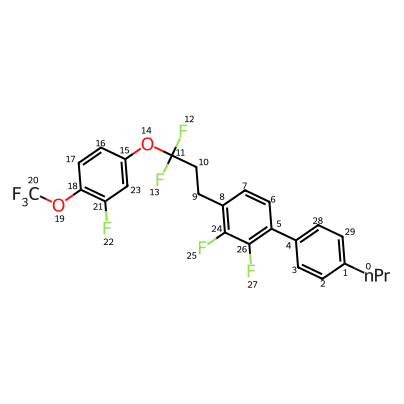 CCCc1ccc(-c2ccc(CCC(F)(F)Oc3ccc(OC(F)(F)F)c(F)c3)c(F)c2F)cc1